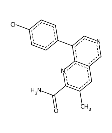 Cc1cc2cncc(-c3ccc(Cl)cc3)c2nc1C(N)=O